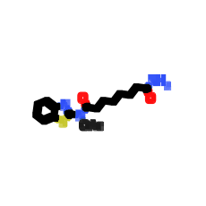 CC(=O)ON(C(=O)CCCCCCC(N)=O)c1nc2ccccc2s1